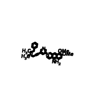 COc1ccc2c(N)c3c(cc2c1OC)CN(c1cncc(C#CCN(C)[C@H](C)Cc2ccccc2)c1)C=C3